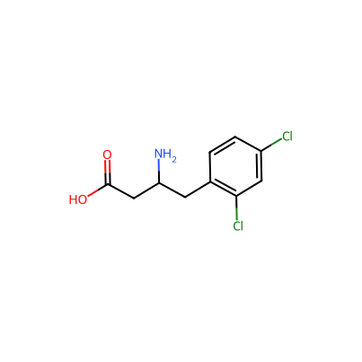 NC(CC(=O)O)Cc1ccc(Cl)cc1Cl